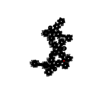 O=C1C(c2ccc(-c3ccccc3)cc2)=C(c2ccc(C#Cc3ccccc3)cc2)C(c2ccc(Oc3ccc(C4=C(c5ccccc5)C(=O)C(c5ccc(C#Cc6ccccc6)cc5)=C4c4ccc(Oc5ccc(C6=C(c7ccc(C#Cc8ccccc8)cc7)C(=O)C(c7ccccc7)=C6c6ccc(C#Cc7ccccc7)cc6)cc5)cc4)cc3)cc2)=C1c1ccccc1